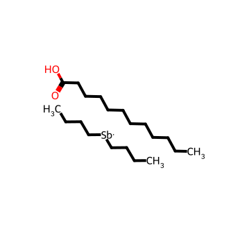 CCCCCCCCCCCC(=O)O.CCC[CH2][Sb][CH2]CCC